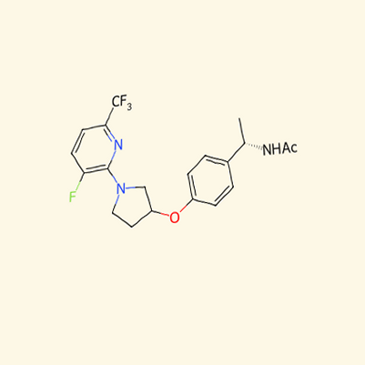 CC(=O)N[C@@H](C)c1ccc(OC2CCN(c3nc(C(F)(F)F)ccc3F)C2)cc1